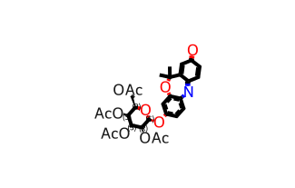 CC(=O)OC[C@H]1O[C@@H](Oc2ccc3c(c2)OC(C)(C)C2=CC(=O)C=CC2=N3)[C@H](OC(C)=O)[C@@H](OC(C)=O)[C@H]1OC(C)=O